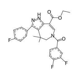 CCOC(=O)C1=CN(C(=O)c2ccc(F)c(F)c2)CC(C)(C)c2c(-c3ccc(F)cc3)n[nH]c21